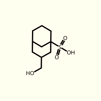 O=S(=O)(O)C12CCCC(CC(CO)C1)C2